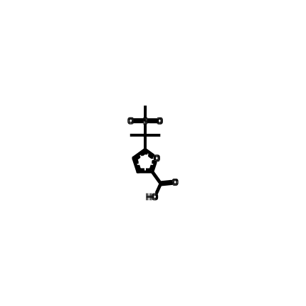 CC(C)(c1ccc(C(=O)O)o1)S(C)(=O)=O